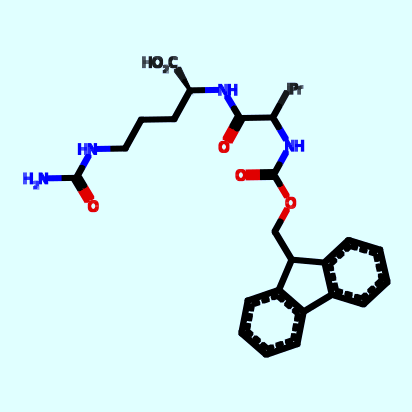 CC(C)C(NC(=O)OCC1c2ccccc2-c2ccccc21)C(=O)N[C@@H](CCCNC(N)=O)C(=O)O